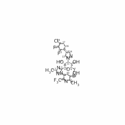 Cc1nc([C@@H]2O[C@H](CO)[C@H](O)[C@H](n3cc(-c4ccc(Cl)c(F)c4F)cn3)[C@H]2O)n(-c2cc(Br)c(C)nc2C(F)(F)F)n1